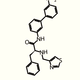 Nc1cccc(-c2cccc(NC(=O)[C@H](Cc3ccccc3)NCc3cscn3)c2)c1